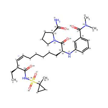 CC[C@@H](/C=C\CCCCC[C@H](Nc1cccc(C(=O)N(C)C)c1)C(=O)N1CCC[C@H]1C(N)=O)C(=O)NS(=O)(=O)C1(C)CC1